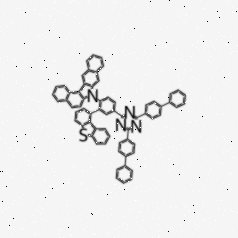 c1ccc(-c2ccc(-c3nc(-c4ccc(-c5ccccc5)cc4)nc(-c4ccc(-n5c6cc7ccccc7cc6c6c7ccccc7ccc65)c(-c5cccc6sc7ccccc7c56)c4)n3)cc2)cc1